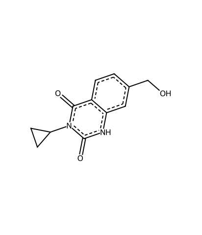 O=c1[nH]c2cc(CO)ccc2c(=O)n1C1CC1